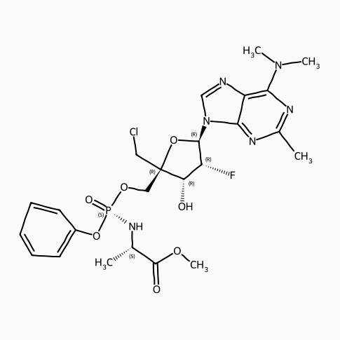 COC(=O)[C@H](C)N[P@](=O)(OC[C@@]1(CCl)O[C@@H](n2cnc3c(N(C)C)nc(C)nc32)[C@H](F)[C@@H]1O)Oc1ccccc1